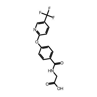 O=C(O)CNC(=O)c1ccc(Oc2ccc(C(F)(F)F)cn2)cc1